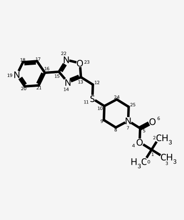 CC(C)(C)OC(=O)N1CCC(SCc2nc(-c3ccncc3)no2)CC1